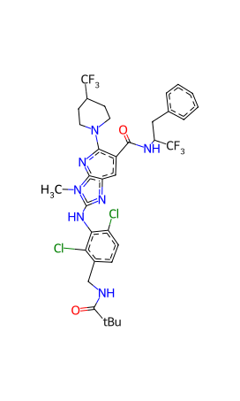 Cn1c(Nc2c(Cl)ccc(CNC(=O)C(C)(C)C)c2Cl)nc2cc(C(=O)NC(Cc3ccccc3)C(F)(F)F)c(N3CCC(C(F)(F)F)CC3)nc21